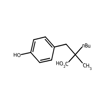 CCCCC(C)(Cc1ccc(O)cc1)C(=O)O